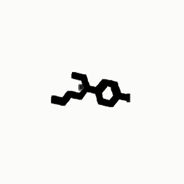 C=CCC[C@@H](CC)C1=CC=C(I)CC1